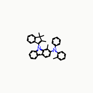 CC1=C(n2c3ccccc3c3ccc(N(c4ccccc4)c4ccccc4C)c(C)c32)c2ccccc2C1(C)C